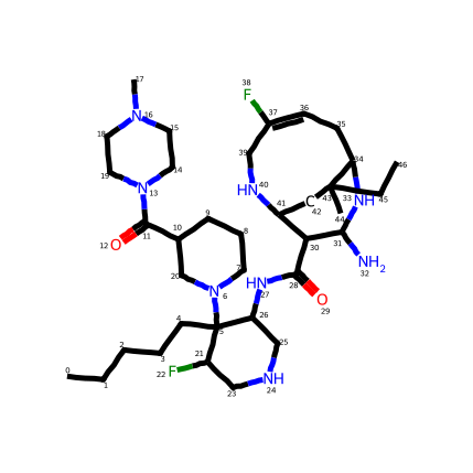 CCCCCC1(N2CCCC(C(=O)N3CCN(C)CC3)C2)C(F)CNCC1NC(=O)C1C(N)NC2C/C=C(/F)CNC1CC2(C)CC